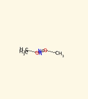 CCCCCCCCCCOc1ccc(-c2ncc(OCCCCCCCC(C)CC)cn2)cc1